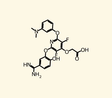 CN(C)c1cccc(Oc2nc(Oc3cc(C(=N)N)ccc3O)c(F)c(OCC(=O)O)c2F)c1